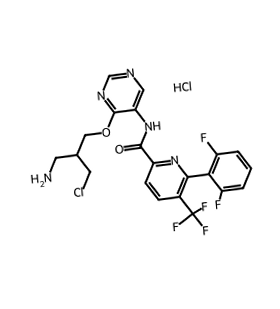 Cl.NCC(CCl)COc1ncncc1NC(=O)c1ccc(C(F)(F)F)c(-c2c(F)cccc2F)n1